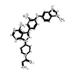 C=CC(=O)N1CCC(n2nc(-c3ccc(Oc4ccc5c(c4)ncn5C)c(C)c3)c3c(C)ncnc32)CC1